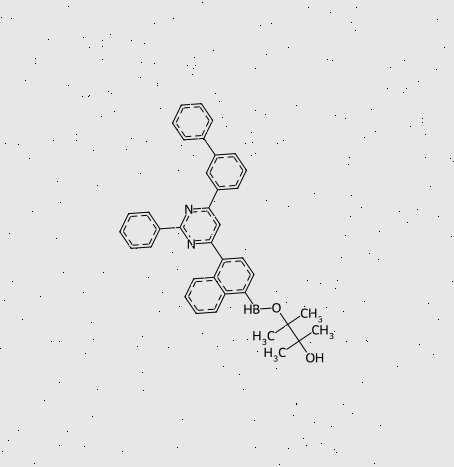 CC(C)(O)C(C)(C)OBc1ccc(-c2cc(-c3cccc(-c4ccccc4)c3)nc(-c3ccccc3)n2)c2ccccc12